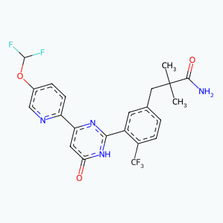 CC(C)(Cc1ccc(C(F)(F)F)c(-c2nc(-c3ccc(OC(F)F)cn3)cc(=O)[nH]2)c1)C(N)=O